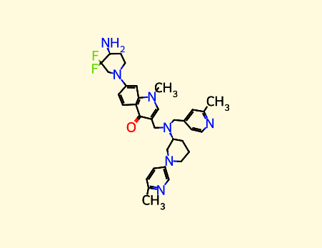 Cc1ccc(N2CCC[C@H](N(Cc3ccnc(C)c3)Cc3cn(C)c4cc(N5CC[C@H](N)C(F)(F)C5)ccc4c3=O)C2)cn1